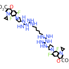 N=C(NCCCCCCNC(=N)NC(=N)NC1CCN(c2c(F)cc3c(=O)c(C(=O)O)cn(C4CC4)c3c2F)C1)NC(=N)NC1CCN(c2c(F)cc3c(=O)c(C(=O)O)cn(C4CC4)c3c2F)C1